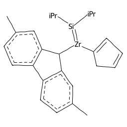 Cc1ccc2c(c1)[CH]([Zr]([C]1=CC=CC1)=[Si](C(C)C)C(C)C)c1cc(C)ccc1-2